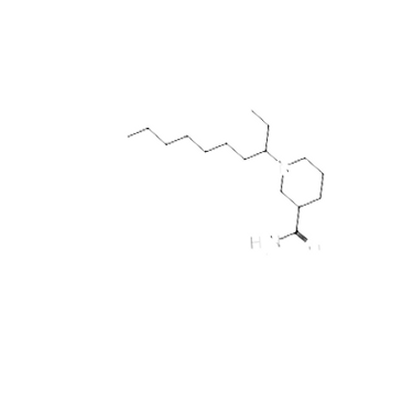 CCCCCCCC(CC)N1CCCC(C(N)=O)C1